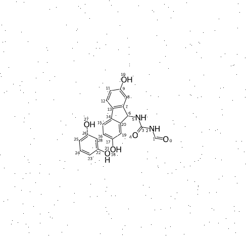 O=CNC(=O)NC1c2cc(O)ccc2-c2ccc(O)cc21.Oc1cccc(O)c1